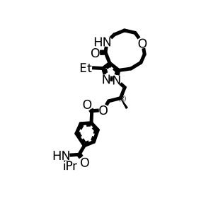 CCc1nn(C[C@@H](C)COC(=O)c2ccc(C(=O)NC(C)C)cc2)c2c1C(=O)NCCCOCCC2